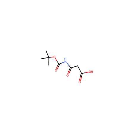 CC(C)(C)OC(=O)NC(=O)CC(=O)O